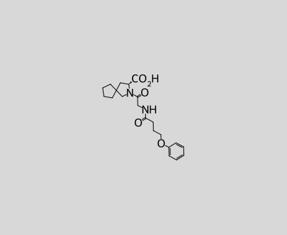 O=C(CCCOc1ccccc1)NCC(=O)N1CC2(CCCC2)C[C@H]1C(=O)O